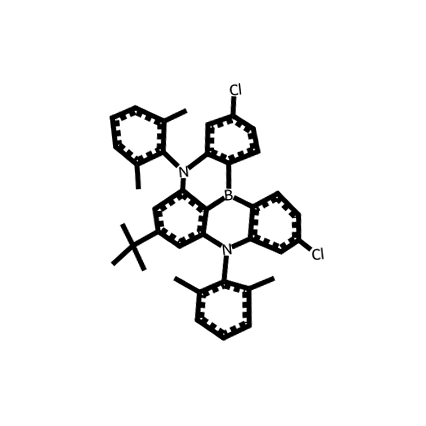 Cc1cccc(C)c1N1c2cc(Cl)ccc2B2c3ccc(Cl)cc3N(c3c(C)cccc3C)c3cc(C(C)(C)C)cc1c32